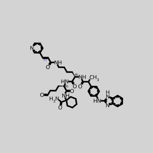 CC(C(=O)N[C@H](CCCCNC(=O)/C=C/c1cccnc1)C(=O)N[C@H](CCCC=O)C(=O)NC1(C(N)=O)CCCCC1)c1ccc(Nc2nc3ccccc3[nH]2)cc1